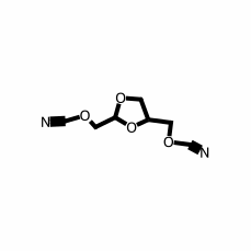 N#COCC1COC(COC#N)O1